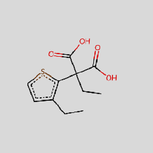 CCc1ccsc1C(CC)(C(=O)O)C(=O)O